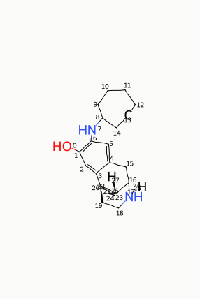 Oc1cc2c(cc1NC1CCCCCC1)C[C@H]1NCC[C@@]23CCCC[C@@H]13